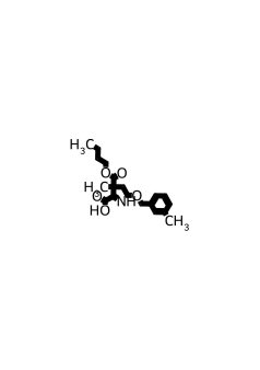 CCCCOC(=O)C(C)(CCOCc1cccc(C)c1)C(=N)C(=O)O